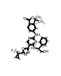 CC1(C)OC(=O)c2ccc(Nc3ncc(-c4nnc(C5(C(F)(F)F)CC5)o4)c(NC(CO)c4ccccc4)n3)cc21